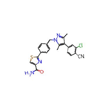 Cc1nn(Cc2ccc(-c3nc(C(N)=O)cs3)cc2)c(C)c1-c1ccc(C#N)c(Cl)c1